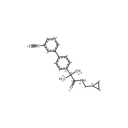 [C-]#[N+]c1cncc(-c2ccc(C(C)(C)C(=O)NCC3CC3)cc2)c1